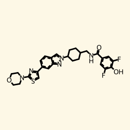 O=C(NCC1CCC(n2cc3ccc(-c4csc(N5CCOCC5)n4)cc3n2)CC1)c1cc(F)c(O)c(F)c1